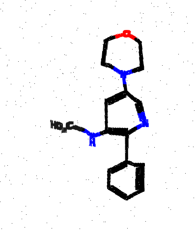 O=C(O)Nc1cc(N2CCOCC2)cnc1-c1ccccc1